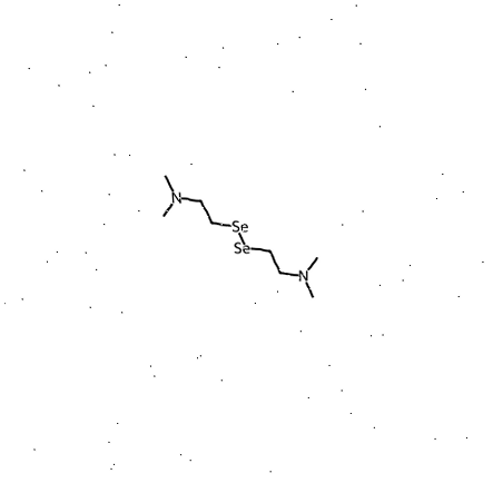 CN(C)CC[Se][Se]CCN(C)C